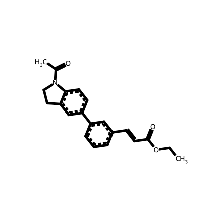 CCOC(=O)C=Cc1cccc(-c2ccc3c(c2)CCN3C(C)=O)c1